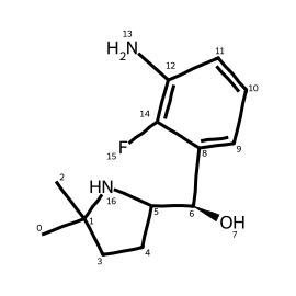 CC1(C)CCC([C@H](O)c2cccc(N)c2F)N1